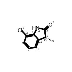 C[C@H]1C(=O)Nc2c(Cl)cccc21